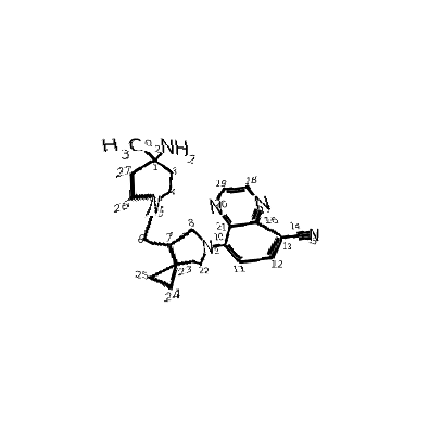 CC1(N)CCN(CC2CN(c3ccc(C#N)c4nccnc34)CC23CC3)CC1